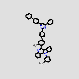 CC1C=C(n2c3ccccc3c3c(C4=CC=C(C5=CCC(c6nc(-c7ccccc7)cc(-c7ccc(-c8ccccc8)cc7)n6)C=C5)CC4C)nc4ccccc4c32)C=CC1